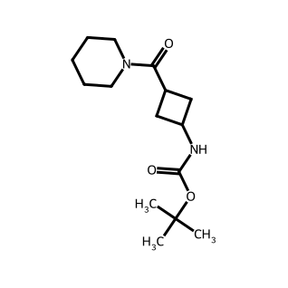 CC(C)(C)OC(=O)NC1CC(C(=O)N2CCCCC2)C1